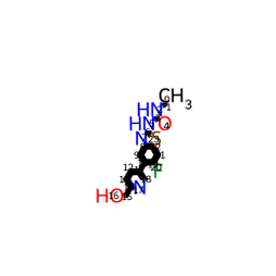 CCNC(=O)Nc1nc2cc(-c3ccc(CO)nc3)c(F)cc2s1